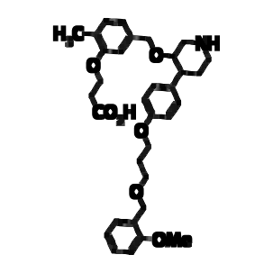 COc1ccccc1COCCCOc1ccc(C2CCNCC2OCc2ccc(C)c(OCCC(=O)O)c2)cc1